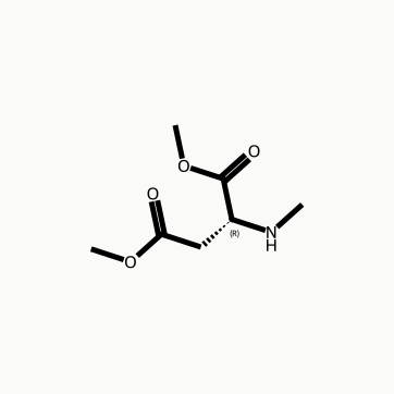 CN[C@H](CC(=O)OC)C(=O)OC